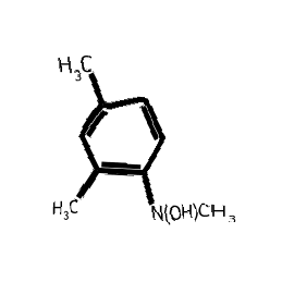 Cc1ccc(N(C)O)c(C)c1